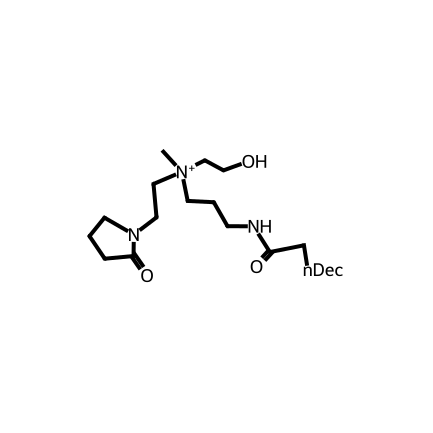 CCCCCCCCCCCC(=O)NCCC[N+](C)(CCO)CCN1CCCC1=O